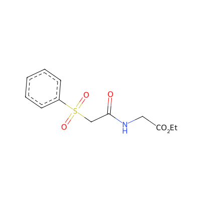 CCOC(=O)CNC(=O)CS(=O)(=O)c1ccccc1